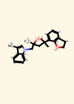 CC(C)(CC(O)(Cn1cc(C#N)c2ccccc21)C(F)(F)F)c1cccc2c1OCC2